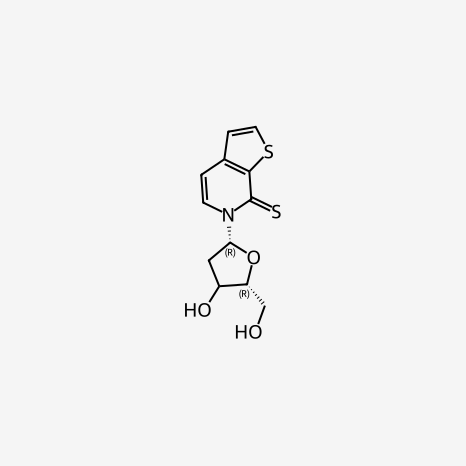 OC[C@H]1O[C@@H](n2ccc3ccsc3c2=S)CC1O